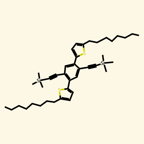 CCCCCCCCc1ccc(-c2cc(C#C[Si](C)(C)C)c(-c3ccc(CCCCCCCC)s3)cc2C#C[Si](C)(C)C)s1